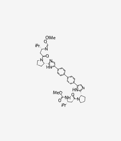 COO/C=N\[C@H](CC(=O)N1CCC[C@H]1c1ncc(-c2ccc(-c3ccc(-c4cnc([C@@H]5CCCN5C(=O)C[C@@H](NC(=O)OC)C(C)C)[nH]4)cc3)cc2)[nH]1)C(C)C